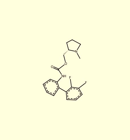 CN1CCC[C@H]1COC(=O)Nc1ccccc1-c1cccc(F)c1F